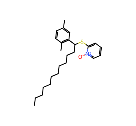 CCCCCCCCCCCC(Sc1cccc[n+]1[O-])c1cc(C)ccc1C